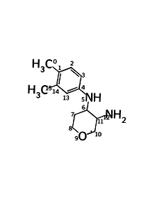 Cc1ccc(NC2CCO[CH]C2N)cc1C